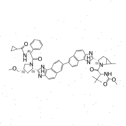 COC[C@H]1C[C@@H](c2nc3ccc4cc(-c5ccc6c(ccc7nc([C@@H]8CC9C(C)C9N8C(=O)C(NC(=O)OC)C(C)(C)C)[nH]c76)c5)ccc4c3[nH]2)N(C(=O)[C@H](NC(=O)C2CC2)c2ccccc2)C1